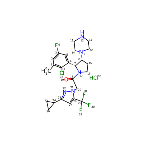 Cc1cc(F)cc([C@@H]2[C@H](N3CCNCC3)CCN2C(=O)Cn2nc(C3CC3)cc2C(F)(F)F)c1Cl.Cl